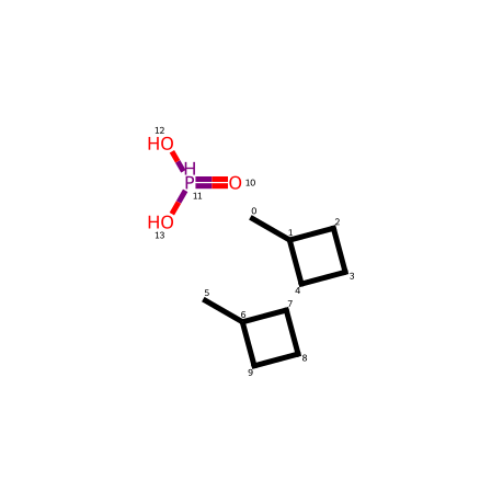 CC1CCC1.CC1CCC1.O=[PH](O)O